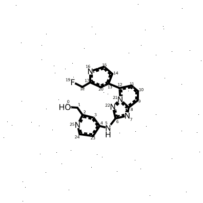 OCc1cc(Nc2nc3cccc(-c4ccnc(CF)c4)n3n2)ccn1